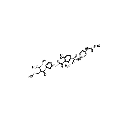 Cc1ccc(S(=O)(=O)Nc2ccc(NNC=O)cc2)c(C)c1NC(=O)C[n+]1cccc(C(=O)N(CCO)C(C)CC(C)C)c1